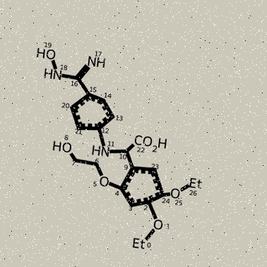 CCOc1cc(OCCO)c(C(Nc2ccc(C(=N)NO)cc2)C(=O)O)cc1OCC